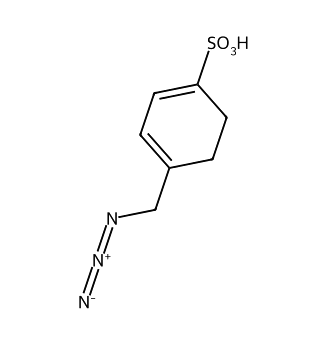 [N-]=[N+]=NCC1=CC=C(S(=O)(=O)O)CC1